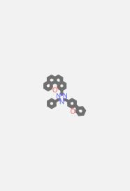 c1ccc(-c2nc(-c3ccc4c(c3)oc3ccccc34)nc(-c3ccc4ccc5ccc6cccc7c6c5c4c3O7)n2)cc1